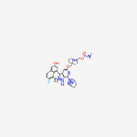 CCc1c(F)ccc2cc(O)cc(-c3n[nH]c4c(N5CC6CCC(C5)N6)nc(OCC56CCCN5[C@@H](COC(=O)N(C)C)CC6)cc34)c12